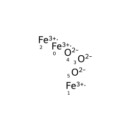 [Fe+3].[Fe+3].[Fe+3].[O-2].[O-2].[O-2]